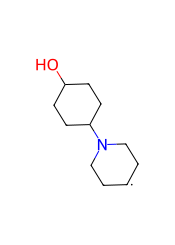 OC1CCC(N2CC[CH]CC2)CC1